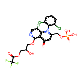 O=C(OCC(O)COc1ncc(Cl)c2c1c(=O)cc(COP(=O)(O)O)n2-c1c(Cl)cccc1Cl)C(F)(F)F